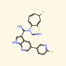 N=CN(C(=N)c1c[nH]c2ncc(-c3ccc(F)nc3)cc12)C1=CC=CC(F)C=C1F